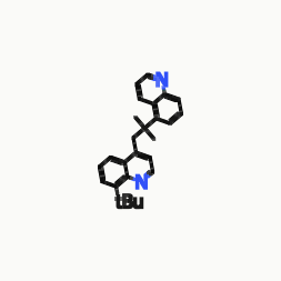 CC(C)(C)c1cccc2c(CC(C)(C)c3cccc4ncccc34)ccnc12